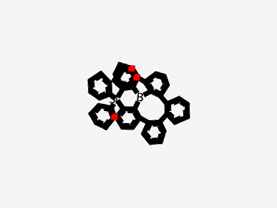 c1ccc(-c2cccc3c2B2c4ccccc4[Si](c4ccccc4)(c4ccccc4)c4cccc(c42)-c2ccccc2-c2ccccc2-3)cc1